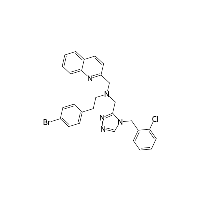 Clc1ccccc1Cn1cnnc1CN(CCc1ccc(Br)cc1)Cc1ccc2ccccc2n1